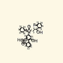 O=C1[C@H](CC[C@H](O)c2ccccc2F)[C@@H](c2ccc(-c3ccccc3S(=O)(=O)O)c(O)c2)N1c1ccccc1